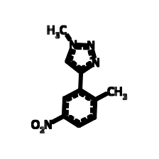 Cc1ccc([N+](=O)[O-])cc1-c1cn(C)nn1